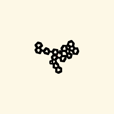 c1ccc(N(c2ccc(-c3ccc(-c4cccc5ccccc45)cc3)cc2)c2cccc3c2-c2ccccc2C32c3ccccc3-c3ccccc32)c(-c2cccc3oc4cc5ccccc5cc4c23)c1